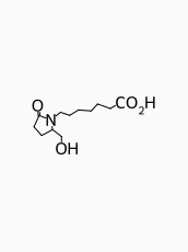 O=C(O)CCCCCCN1C(=O)CCC1CO